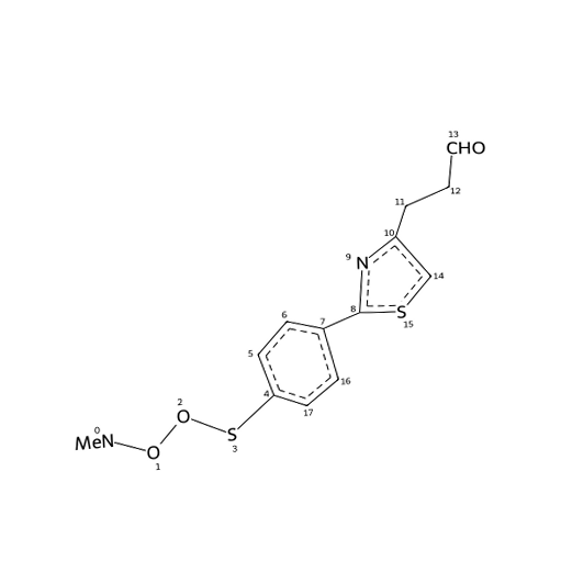 CNOOSc1ccc(-c2nc(CCC=O)cs2)cc1